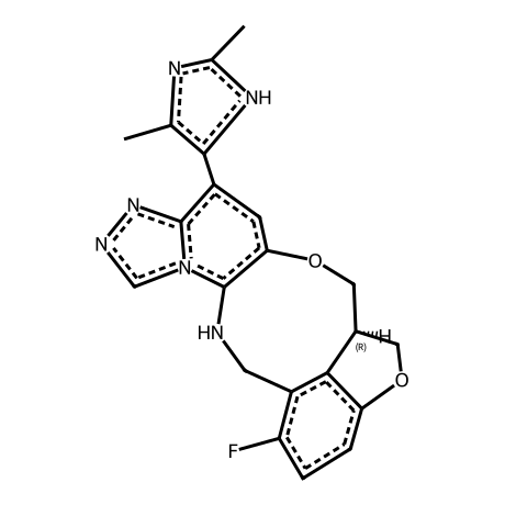 Cc1nc(C)c(-c2cc3c(n4cnnc24)NCc2c(F)ccc4c2[C@H](CO4)CO3)[nH]1